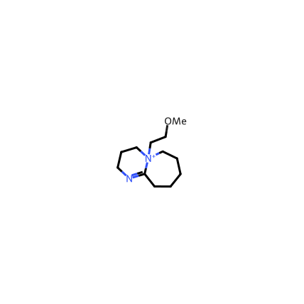 COCC[N+]12CCCCCC1=NCCC2